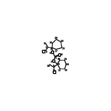 CC(Cl)C1(OC(=O)OC2(C(C)Cl)CCCCC2)CCCCC1